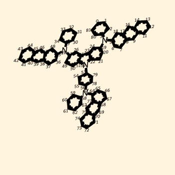 c1ccc(N(c2ccc3cc4ccccc4cc3c2)c2ccc3c(c2)c2cc(N(c4ccccc4)c4ccc5cc6ccccc6cc5c4)ccc2n3-c2ccc(N(c3ccccc3)c3cccc4cc5ccccc5cc34)cc2)cc1